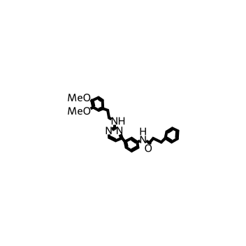 COc1ccc(CCNc2nccc(-c3cccc(NC(=O)CCc4ccccc4)c3)n2)cc1OC